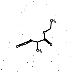 CCOC(=O)C(C)N=C=O